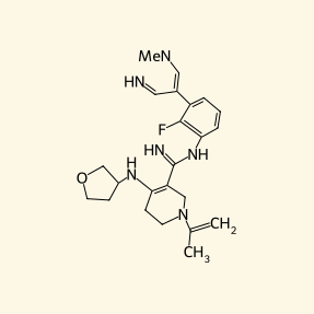 C=C(C)N1CCC(NC2CCOC2)=C(C(=N)Nc2cccc(/C(C=N)=C/NC)c2F)C1